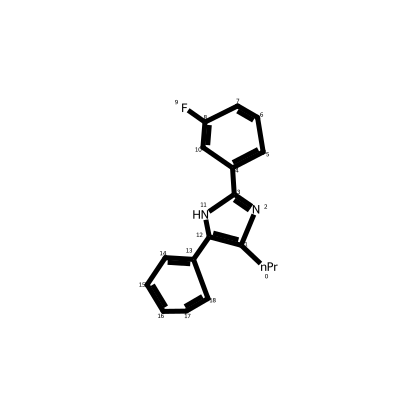 CCCc1nc(-c2cccc(F)c2)[nH]c1-c1ccccc1